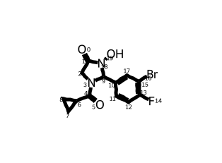 O=C1CN(C(=O)C2CC2)C(c2ccc(F)c(Br)c2)N1O